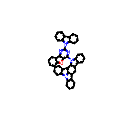 c1ccc2c(c1)oc1c(-n3c4ccccc4c4cc5c6ccccc6n6c7ccccc7c(c43)c56)nc(-n3c4ccccc4c4ccccc43)nc12